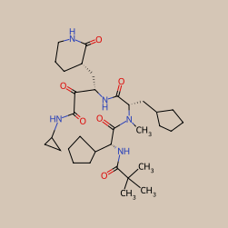 CN(C(=O)[C@H](NC(=O)C(C)(C)C)C1CCCC1)[C@@H](CC1CCCC1)C(=O)N[C@@H](C[C@@H]1CCCNC1=O)C(=O)C(=O)NC1CC1